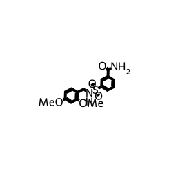 COc1ccc(CNS(=O)(=O)c2cccc(C(N)=O)c2)c(OC)c1